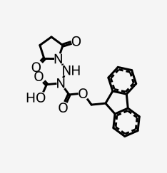 O=C(O)N(NN1C(=O)CCC1=O)C(=O)OCC1c2ccccc2-c2ccccc21